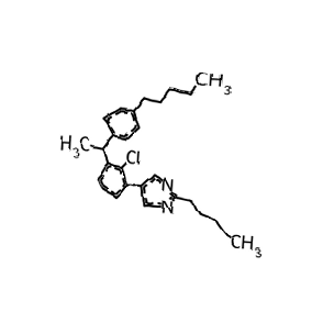 CCCCCc1ccc(C(C)c2cccc(-c3cnc(CCCCC)nc3)c2Cl)cc1